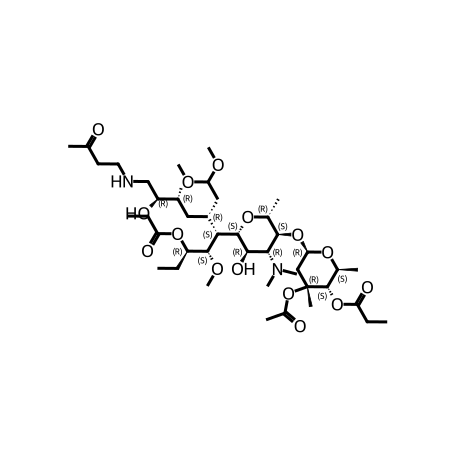 CCC(=O)O[C@H](CC)[C@@H](OC)[C@H]([C@@H](CC(OC)OC)C[C@@H](C)[C@@H](O)CNCCC(C)=O)[C@@H]1O[C@H](C)[C@@H](O[C@@H]2C[C@@](C)(OC(C)=O)[C@@H](OC(=O)CC)[C@H](C)O2)[C@H](N(C)C)[C@H]1O